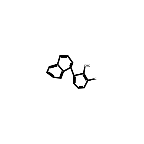 O=Cc1c(Cl)cccc1-c1cccc2ccccc12